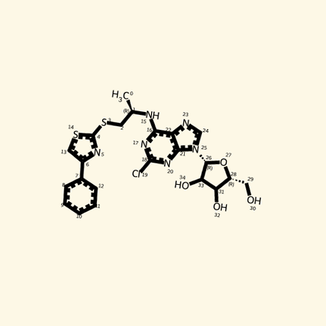 C[C@H](CSc1nc(-c2ccccc2)cs1)Nc1nc(Cl)nc2c1ncn2[C@@H]1O[C@H](CO)C(O)C1O